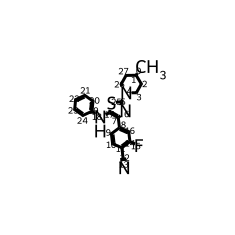 CC1CCN(c2nc(-c3ccc(C#N)c(F)c3)c(Nc3ccccc3)s2)CC1